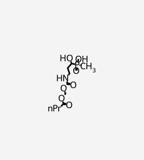 CCCC(=O)OCOC(=O)NCCC(O)P(C)(=O)O